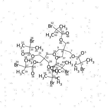 CC(C)(Br)C(=O)OCC(COCC(COC(=O)C(C)(C)Br)(COC(=O)C(C)(C)Br)COC(=O)C(C)(C)Br)(COC(=O)C(C)(C)Br)COC(=O)C(C)(C)Br